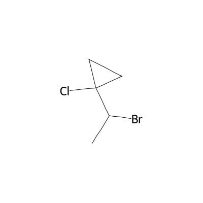 CC(Br)C1(Cl)CC1